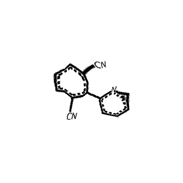 N#Cc1cccc(C#N)c1-c1c[c]ccn1